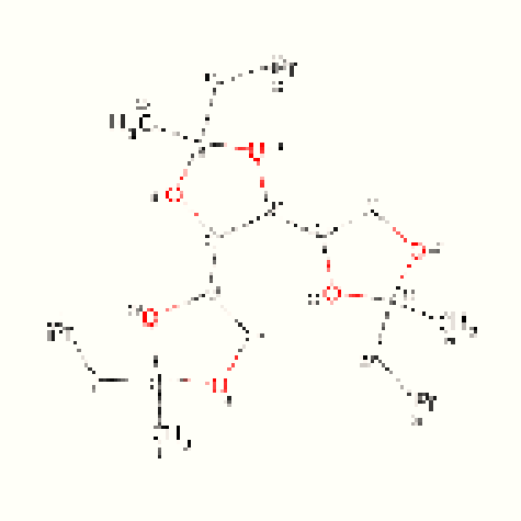 CC(C)CC1(C)OCC(C2OC(C)(CC(C)C)OC2C2COC(C)(CC(C)C)O2)O1